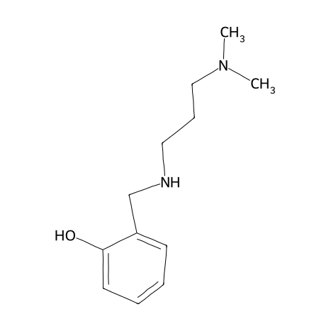 CN(C)CCCNCc1ccccc1O